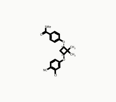 CSC(=O)c1ccc(O[C@H]2C[C@H](Oc3ccc(C#N)c(Cl)c3)C2(C)C)cc1